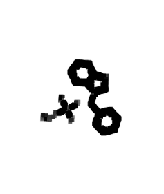 F[B-](F)(F)F.[Na+].c1ccc(Cn2cnc3ccccc32)cc1